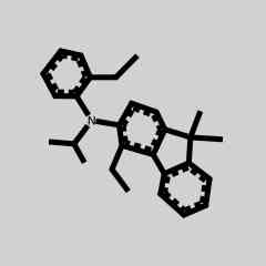 CCc1ccccc1N(c1ccc2c(c1CC)-c1ccccc1C2(C)C)C(C)C